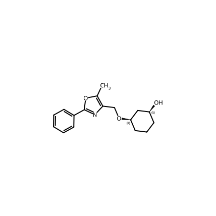 Cc1oc(-c2ccccc2)nc1CO[C@@H]1CCC[C@H](O)C1